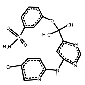 CC(C)(Oc1cccc(S(N)(=O)=O)c1)c1cc(Nc2ccc(Cl)cn2)ncn1